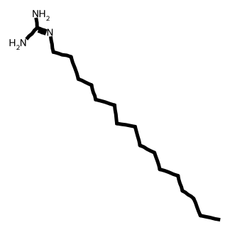 CCCCCCCCCCCCCCCCN=C(N)N